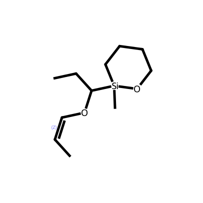 C/C=C\OC(CC)[Si]1(C)CCCCO1